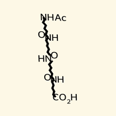 CC(=O)NCCCCCC(=O)NCCCCCC(=O)NCCCCCC(=O)NCCCCCC(=O)O